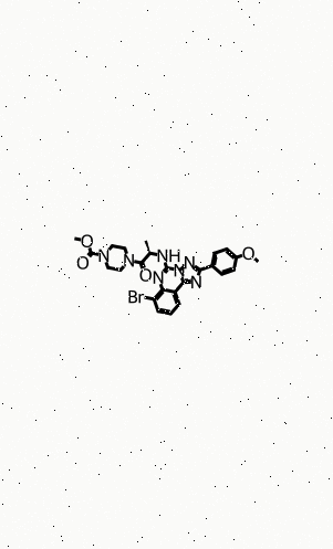 COC(=O)N1CCN(C(=O)[C@@H](C)Nc2nc3c(Br)cccc3c3nc(-c4ccc(OC)cc4)nn23)CC1